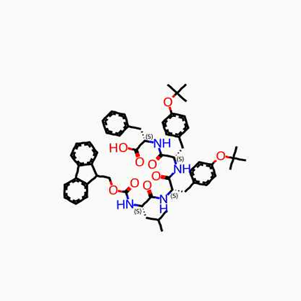 CC(C)C[C@H](NC(=O)OCC1c2ccccc2-c2ccccc21)C(=O)N[C@@H](Cc1ccc(OC(C)(C)C)cc1)C(=O)N[C@@H](Cc1ccc(OC(C)(C)C)cc1)C(=O)N[C@@H](Cc1ccccc1)C(=O)O